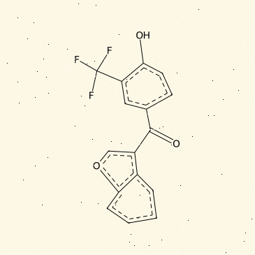 O=C(c1ccc(O)c(C(F)(F)F)c1)c1coc2ccccc12